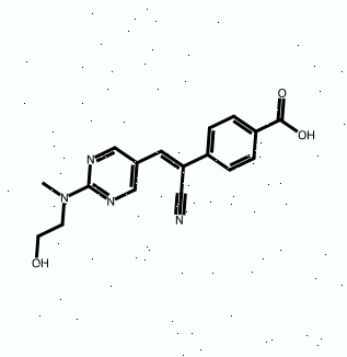 CN(CCO)c1ncc(/C=C(\C#N)c2ccc(C(=O)O)cc2)cn1